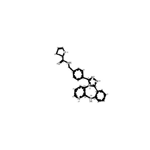 O=C(NCc1ccc(-c2nnc3n2-c2cccnc2Nc2ccccc2-3)cc1)C1CC=CO1